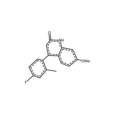 COc1ccc2c(-c3ccc(F)cc3C)cc(=O)[nH]c2c1